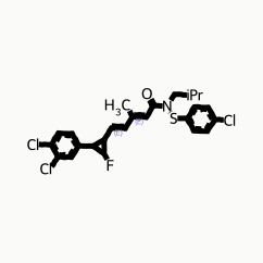 CC(/C=C/C1C(F)C1c1ccc(Cl)c(Cl)c1)=C\C(=O)N(CC(C)C)Sc1ccc(Cl)cc1